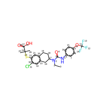 CCN(C(=O)Nc1ccc(OC(F)(F)F)cc1)C1CCc2cc(SC(C)(C)C(=O)O)c(Cl)cc2C1